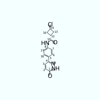 O=c1ccc(-c2ccc(NC(=O)[C@H]3C[C@H](Cl)C3)cc2)n[nH]1